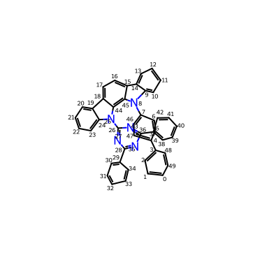 c1ccc(-c2ccc(-n3c4ccccc4c4ccc5c6ccccc6n(-c6nc(-c7ccccc7)nc(-c7ccccc7)n6)c5c43)cc2)cc1